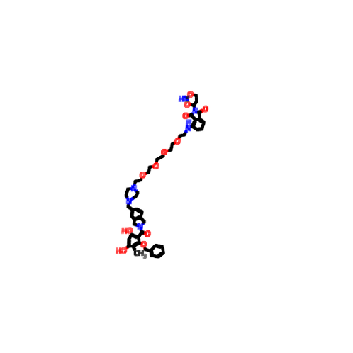 Cc1c(O)cc(O)c(C(=O)N2Cc3ccc(CN4CCN(CCOCCOCCOCCOCCNc5cccc6c5C(=O)N(C5CCONO5)C6=O)CC4)cc3C2)c1OCc1ccccc1